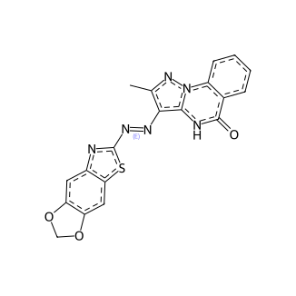 Cc1nn2c([nH]c(=O)c3ccccc32)c1/N=N/c1nc2cc3c(cc2s1)OCO3